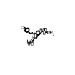 Cl.Cl.Nc1n[nH]c(N2CCC(NCCc3ccc(Cl)cc3)C(CCCO)C2)n1